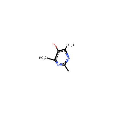 Cc1nc(C(=O)O)c(Br)c(S(=O)(=O)O)n1